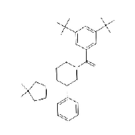 O=C(c1cc(C(F)(F)F)cc(C(F)(F)F)c1)N1CC[C@@H](N2CCC(F)(F)C2)[C@@H](c2ccccc2)C1